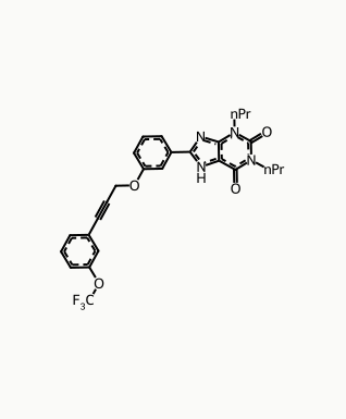 CCCn1c(=O)c2[nH]c(-c3cccc(OCC#Cc4cccc(OC(F)(F)F)c4)c3)nc2n(CCC)c1=O